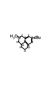 CN1Cc2cc(C(C)(C)C)cc3c2C(CCC3)C1